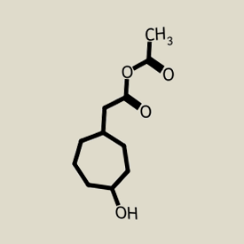 CC(=O)OC(=O)CC1CCCC(O)CC1